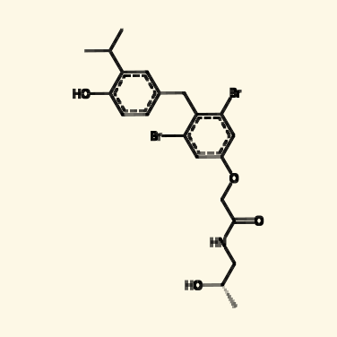 CC(C)c1cc(Cc2c(Br)cc(OCC(=O)NC[C@H](C)O)cc2Br)ccc1O